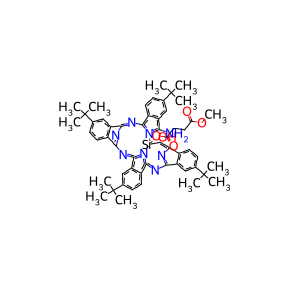 COC(=O)CCC(=O)O[Si]12/C(O)=C3N=C(/N=c4/c5ccc(C(C)(C)C)cc5/c(n41)=N/C1=NC(=N\c4c5ccc(C(C)(C)C)cc5c(N)n42)/c2cc(C(C)(C)C)ccc21)c1cc(C(C)(C)C)ccc1\3